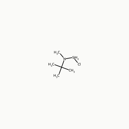 CN([SiH2]Cl)C(C)(C)C